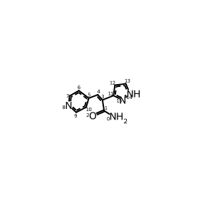 NC(=O)C(=Cc1ccncc1)c1cc[nH]n1